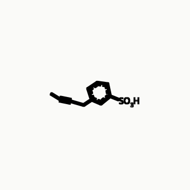 CC#CCc1cccc(S(=O)(=O)O)c1